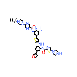 CN1CCN(c2cnc(C(=O)Nc3cc(-c4cc(Nc5ccc(-c6ccoc6)cc5NC(=O)c5ncc(N6CCNCC6)s5)cs4)ccc3N)cn2)CC1